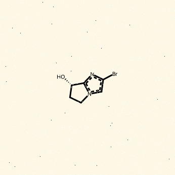 O[C@H]1CCn2cc(Br)nc21